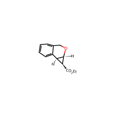 CCOC(=O)[C@@H]1[C@@H]2OCc3ccccc3[C@@H]21